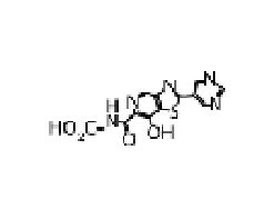 O=C(O)CNC(=O)c1ncc2nc(-c3cncnc3)sc2c1O